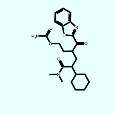 CN(C)C(=O)C(CC(CCOC(N)=O)C(=O)c1nc2ccccc2o1)C1CCCCC1